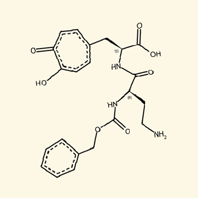 NCC[C@@H](NC(=O)OCc1ccccc1)C(=O)N[C@@H](Cc1ccc(O)c(=O)cc1)C(=O)O